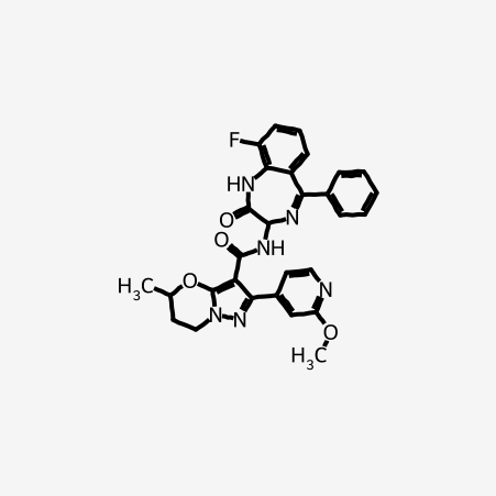 COc1cc(-c2nn3c(c2C(=O)NC2N=C(c4ccccc4)c4cccc(F)c4NC2=O)OC(C)CC3)ccn1